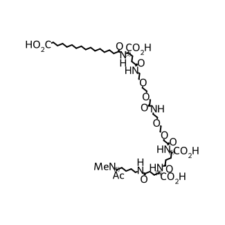 CN[C@@H](CCCCNC(=O)CC[C@H](NC(=O)CC[C@H](NC(=O)COCCOCCNC(=O)COCCOCCNC(=O)CC[C@H](NC(=O)CCCCCCCCCCCCCCC(=O)O)C(=O)O)C(=O)O)C(=O)O)C(C)=O